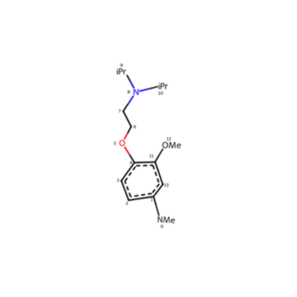 CNc1ccc(OCCN(C(C)C)C(C)C)c(OC)c1